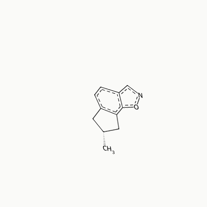 C[C@@H]1Cc2ccc3cnoc3c2C1